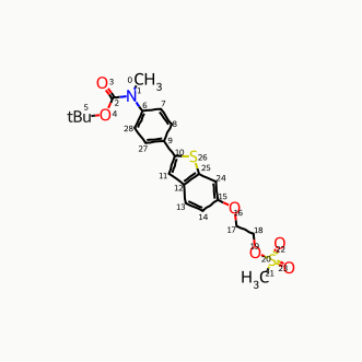 CN(C(=O)OC(C)(C)C)c1ccc(-c2cc3ccc(OCCOS(C)(=O)=O)cc3s2)cc1